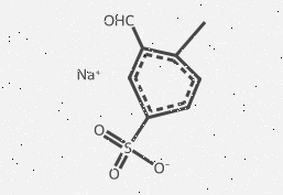 Cc1ccc(S(=O)(=O)[O-])cc1C=O.[Na+]